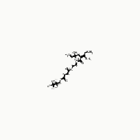 CC/C(C)=C(\CC(C)(C)CC)C(=O)OCCOC(=O)CCC(=O)OCC(F)(F)C(F)(F)F